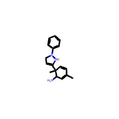 CC1=CC(N)C(C)(C2=CCN(c3ccccc3)N2)C=C1